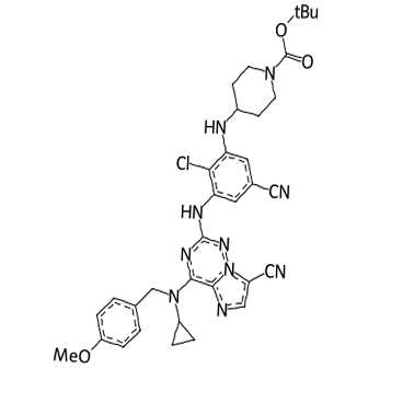 COc1ccc(CN(c2nc(Nc3cc(C#N)cc(NC4CCN(C(=O)OC(C)(C)C)CC4)c3Cl)nn3c(C#N)cnc23)C2CC2)cc1